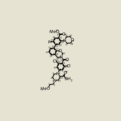 COCCN1CCN(c2cc(Cl)c(C(=O)N3COc4c(cccc4-c4cc(N5CCOCC5)c(C(=O)OC)cc4F)C3)c(Cl)c2)C(C(N)=O)C1